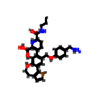 CCCNC(=O)c1ccc(-c2cc3c(cc2COc2ccc(CN)cc2)-c2sccc2CCO3)c(C(=O)O)n1